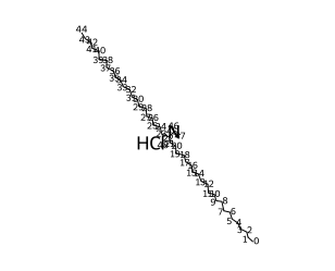 CCCCCCCCCCCCCCCCCCCCCCC(CCCCCCCCCCCCCCCCCCCCCC)N(C)C.Cl